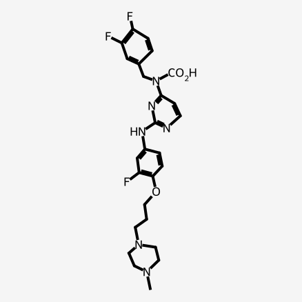 CN1CCN(CCCOc2ccc(Nc3nccc(N(Cc4ccc(F)c(F)c4)C(=O)O)n3)cc2F)CC1